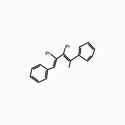 CC(=C(C(=Cc1ccccc1)C(C)C)C(C)C)c1ccccc1